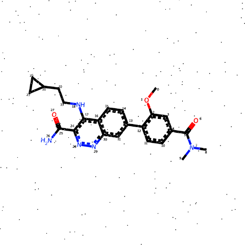 COc1cc(C(=O)N(C)C)ccc1-c1ccc2c(NCCC3CC3)c(C(N)=O)nnc2c1